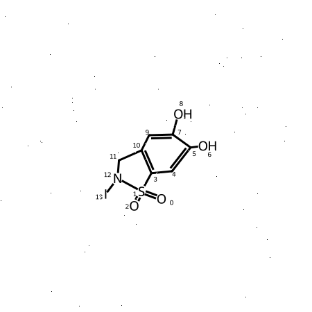 O=S1(=O)c2cc(O)c(O)cc2CN1I